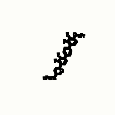 CCCCCC1CCC(c2ccc(-c3ccc(-c4ccc(OCCC)c(F)c4F)cc3)c(F)c2F)OC1